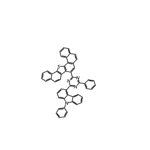 c1ccc(-c2nc(-c3cc4ccc5ccccc5c4c4sc5c6ccccc6ccc5c34)nc(-c3cccc4c3c3ccccc3n4-c3ccccc3)n2)cc1